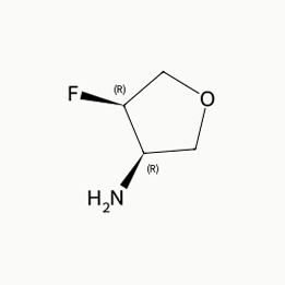 N[C@@H]1COC[C@@H]1F